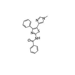 Cn1cnc(-c2sc(NC(=O)c3ccccc3)nc2-c2ccccc2)c1